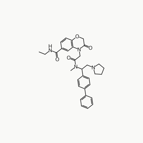 CCNC(=O)c1ccc2c(c1)N(CC(=O)N(C)C(CN1CCCC1)c1ccc(-c3ccccc3)cc1)C(=O)CO2